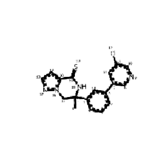 CC1(c2cccc(-c3cncc(Cl)c3)c2)Cn2nccc2C(=S)N1